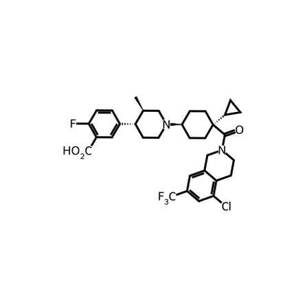 C[C@H]1CN([C@H]2CC[C@](C(=O)N3CCc4c(Cl)cc(C(F)(F)F)cc4C3)(C3CC3)CC2)CC[C@@H]1c1ccc(F)c(C(=O)O)c1